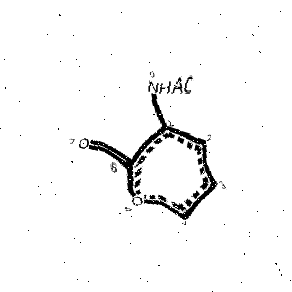 CC(=O)Nc1cccoc1=O